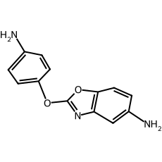 Nc1ccc(Oc2nc3cc(N)ccc3o2)cc1